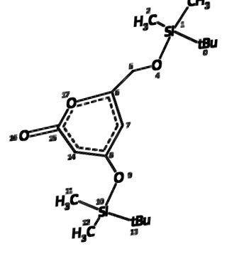 CC(C)(C)[Si](C)(C)OCc1cc(O[Si](C)(C)C(C)(C)C)cc(=O)o1